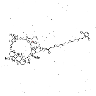 C=C1C[C@@H]2CC[C@]34C[C@@H](O)[C@@H]5C(O3)[C@@H]3[C@H]5O[C@H]5CC[C@H](CC(=O)C[C@@H]6[C@@H](OC)[C@@H](C[C@H](O)CNC(=O)CCOCCOCCOCCOCCN7C(=O)C=CC7=O)O[C@H]6C[C@H]6O[C@@H](CC[C@@H]1O2)C[C@@H](C)C6=C)O[C@@H]5[C@@H]3O4